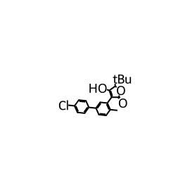 Cc1ccc(-c2ccc(Cl)cc2)cc1C1=C(O)C(C(C)(C)C)OC1=O